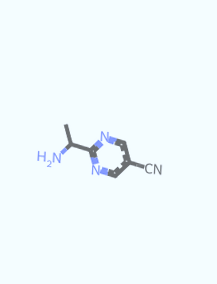 CC(N)c1ncc(C#N)cn1